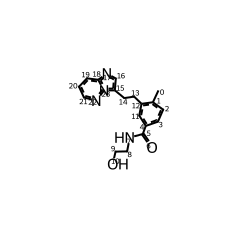 Cc1ccc(C(=O)NCCO)cc1CCc1cnc2cccnn12